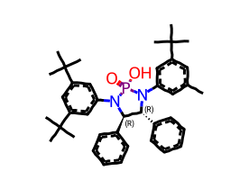 Cc1cc(N2[C@H](c3ccccc3)[C@@H](c3ccccc3)N(c3cc(C(C)(C)C)cc(C(C)(C)C)c3)P2(=O)O)cc(C(C)(C)C)c1